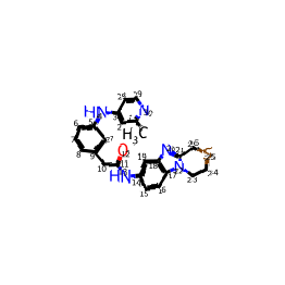 Cc1cc(Nc2cccc(CC(=O)Nc3ccc4c(c3)nc3n4CCSC3)c2)ccn1